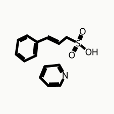 O=S(=O)(O)C/C=C/c1ccccc1.c1ccncc1